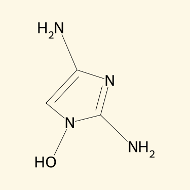 Nc1cn(O)c(N)n1